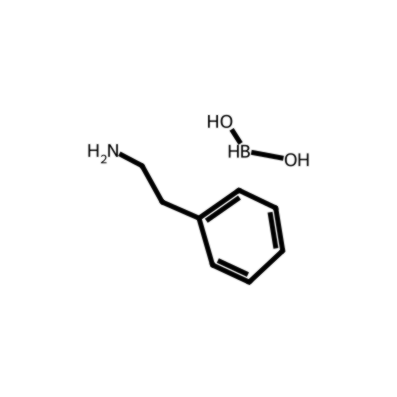 NCCc1ccccc1.OBO